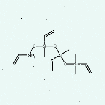 C=C[SiH2]O[Si](C)(C=C)O[Si](C)(C=C)O[Si](C)(C)C=C